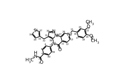 CNC(=O)c1ccc(-n2c(=O)c3cc[n+](Cc4ccc(OC)c(OC)c4)cc3n3ncc(Cc4ccsc4)c23)cc1